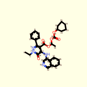 CCn1nc(-c2ccccc2)c(C(=O)OC(C)OC(=O)OC2CCCCC2)c(Nc2cncc3ccccc23)c1=O